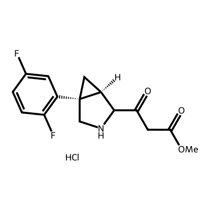 COC(=O)CC(=O)C1NC[C@@]2(c3cc(F)ccc3F)C[C@@H]12.Cl